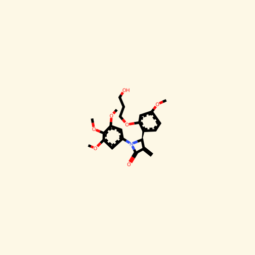 C=C1C(=O)N(c2cc(OC)c(OC)c(OC)c2)[C@H]1c1ccc(OC)cc1OCCCO